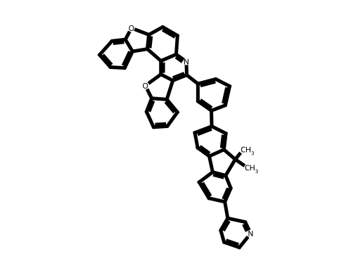 CC1(C)c2cc(-c3cccnc3)ccc2-c2ccc(-c3cccc(-c4nc5ccc6oc7ccccc7c6c5c5oc6ccccc6c45)c3)cc21